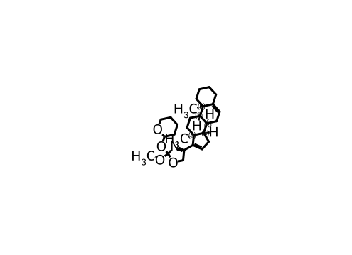 COC1(OC2CCCCO2)N=C(C2=CC[C@H]3[C@@H]4CC=C5CCCC[C@]5(C)[C@H]4CC[C@]23C)CO1